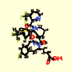 CCC[C@H]1N(C(=O)c2ncccc2C(F)(F)F)CCC[C@@]1(Oc1csc(C(F)(F)F)c1)C(=O)N1Cc2ccc(F)cc2C[C@@H]1CCCC(=O)O